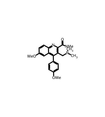 CNC(=O)c1nc2ccc(OC)cc2c(-c2ccc(OC)cc2)c1CN(C)C